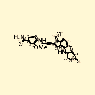 COc1cc(C(N)=O)ccc1NCC#Cc1cc2c(N[C@H]3CCN(C)C[C@@H]3F)cccc2n1CC(F)(F)F